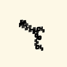 CCCCC(=O)OCC(C)SCCCCCCC(F)(F)F